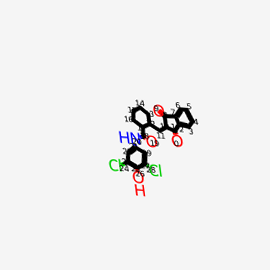 O=C1c2ccccc2C(=O)C1CC1CCCCC1C(=O)Nc1cc(Cl)c(O)c(Cl)c1